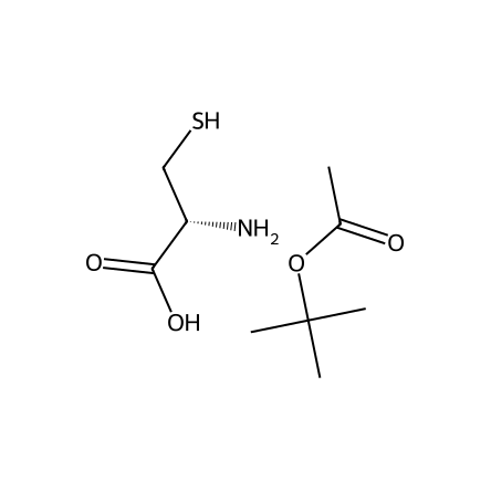 CC(=O)OC(C)(C)C.N[C@@H](CS)C(=O)O